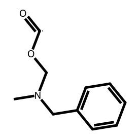 CN(CO[C]=O)Cc1ccccc1